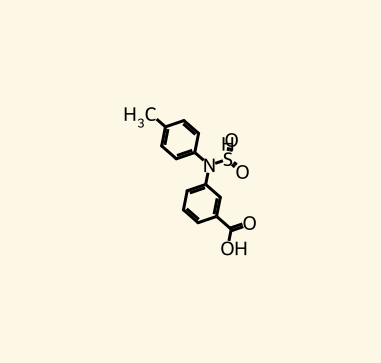 Cc1ccc(N(c2cccc(C(=O)O)c2)[SH](=O)=O)cc1